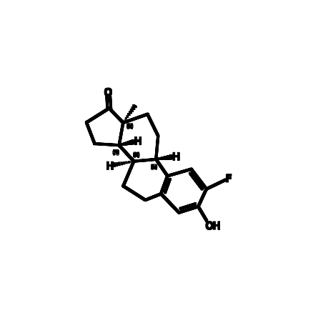 C[C@]12CC[C@@H]3c4cc(F)c(O)cc4CC[C@H]3[C@@H]1CCC2=O